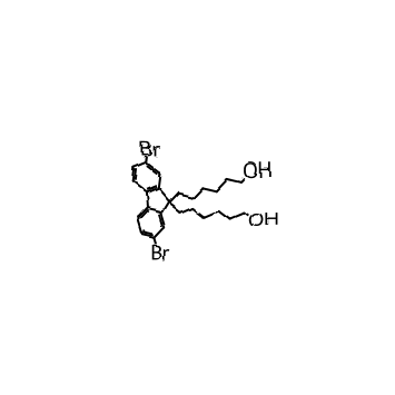 OCCCCCCC1(CCCCCCO)c2cc(Br)ccc2-c2ccc(Br)cc21